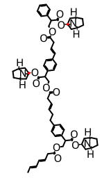 C/C=C/C=C/CC(=O)OCC(C(=O)O[C@H]1C[C@H]2CC[C@@H](C1)N2C)c1ccc(CC/C=C/CC(=O)OCC(C(=O)O[C@H]2C[C@H]3CC[C@@H](C2)N3C)c2ccc(/C=C/CC(=O)OCC(C(=O)O[C@H]3C[C@H]4CC[C@@H](C3)N4C)c3ccccc3)cc2)cc1